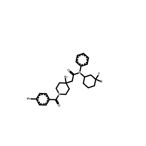 CC(=O)C1(CC(=O)N(c2ccccc2)C2CCCC(F)(F)C2)CCN(C(=O)c2ccc(C(C)C)cc2)CC1